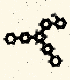 CC(C)(C)c1ccccc1-c1cccc(-c2nc(-c3ccc(C4CCCCC4)cc3)nc(-c3ccc(C4CCCCC4)cc3)n2)c1